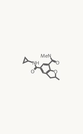 CNC(=O)c1cc(C(=O)NC2CC2)cc2c1OC(C)C2